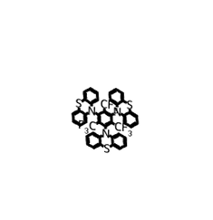 FC(F)(F)c1c(N2c3ccccc3Sc3ccccc32)c(C(F)(F)F)c(N2c3ccccc3Sc3ccccc32)c(C(F)(F)F)c1N1c2ccccc2Sc2ccccc21